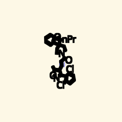 CCCC(=O)C1(c2ccccc2)CCN(C(=O)/C=C/c2c(-c3c(Cl)cccc3Cl)noc2C)CC1